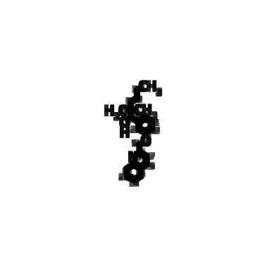 CCCCC(C)(C)C(O)c1cccc(OCc2ccc3c(n2)CC=CC3)c1